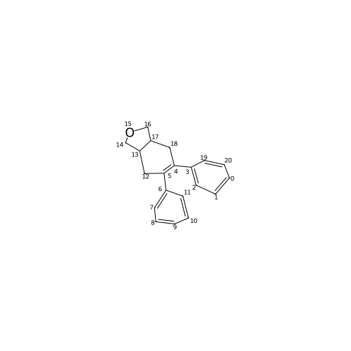 c1ccc(C2=C(c3ccccc3)CC3COCC3C2)cc1